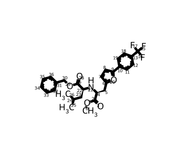 COC(=O)[C@H](Cc1ccc(-c2ccc(C(F)(F)F)cc2)o1)N[C@@H](CC(C)C)C(=O)OCc1ccccc1